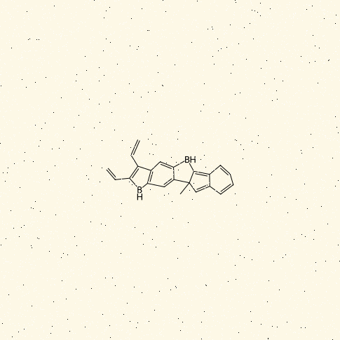 C=CC1=C(C=C)c2cc3c(cc2B1)C1(C)C=c2ccccc2=C1B3